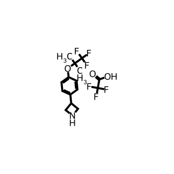 CC(C)(Oc1ccc(C2CNC2)cc1)C(F)(F)F.O=C(O)C(F)(F)F